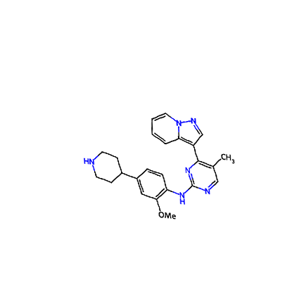 COc1cc(C2CCNCC2)ccc1Nc1ncc(C)c(-c2cnn3ccccc23)n1